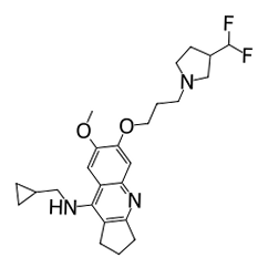 COc1cc2c(NCC3CC3)c3c(nc2cc1OCCCN1CCC(C(F)F)C1)CCC3